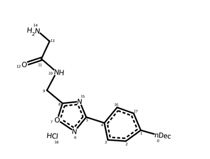 CCCCCCCCCCc1ccc(-c2noc(CNC(=O)CN)n2)cc1.Cl